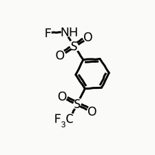 O=S(=O)(NF)c1cccc(S(=O)(=O)C(F)(F)F)c1